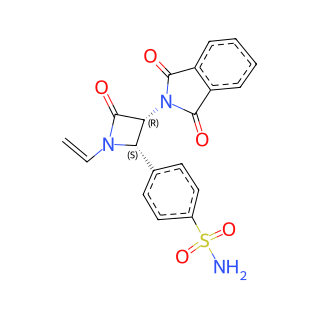 C=CN1C(=O)[C@H](N2C(=O)c3ccccc3C2=O)[C@@H]1c1ccc(S(N)(=O)=O)cc1